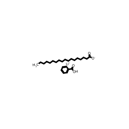 CCCCCCCCCCCCCCCCCC(=O)[O-].O=C(O)c1ccccc1.[Li+]